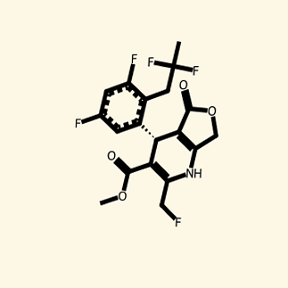 COC(=O)C1=C(CF)NC2=C(C(=O)OC2)[C@H]1c1cc(F)cc(F)c1CC(C)(F)F